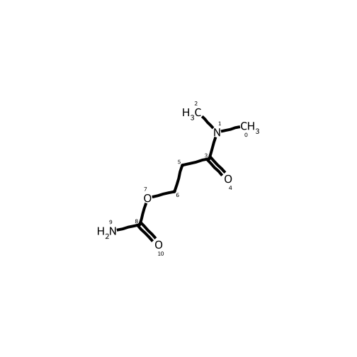 CN(C)C(=O)CCOC(N)=O